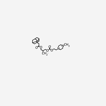 [CH2]C(COC(=O)CC12CC3CC(CC(C3)C1)C2)COC(=O)OCCN1CCN(C)CC1